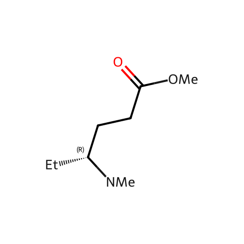 CC[C@H](CCC(=O)OC)NC